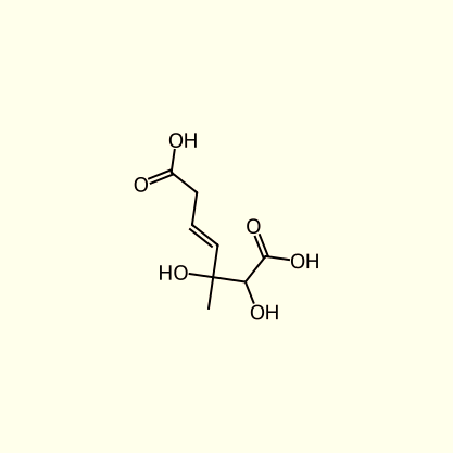 CC(O)(C=CCC(=O)O)C(O)C(=O)O